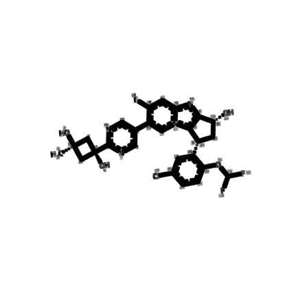 C[C@]1(O)C[C@](O)(c2ncc(-c3cn4c5c(nc4cc3F)[C@H](O)C[C@@H]5c3cc(Cl)ccc3OC(F)F)cn2)C1